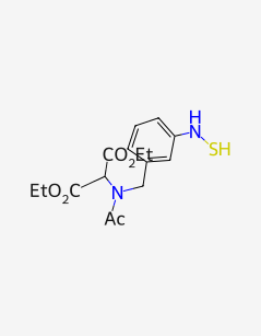 CCOC(=O)C(C(=O)OCC)N(Cc1cccc(NS)c1)C(C)=O